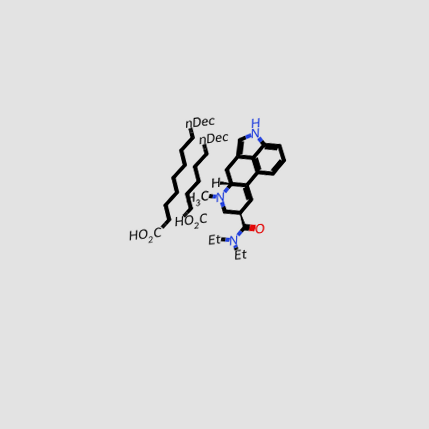 CCCCCCCCCCCCCCCC(=O)O.CCCCCCCCCCCCCCCCCC(=O)O.CCN(CC)C(=O)[C@@H]1C=C2c3cccc4[nH]cc(c34)C[C@H]2N(C)C1